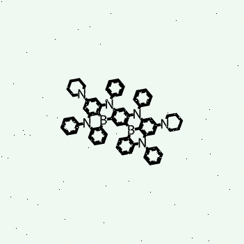 c1ccc(N2c3ccccc3B3c4cc5c(cc4N(c4ccccc4)c4cc(N6CCCCC6)cc2c43)N(c2ccccc2)c2cc(N3CCCCC3)cc3c2B5c2ccccc2N3c2ccccc2)cc1